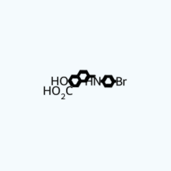 O=C(O)c1cc2cc(CNc3ccc(Br)cc3)ccc2cc1O